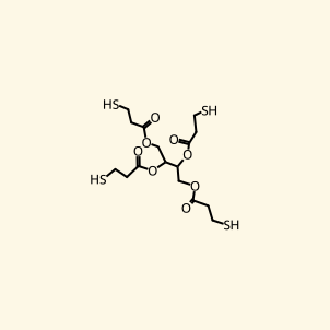 O=C(CCS)OCC(OC(=O)CCS)C(COC(=O)CCS)OC(=O)CCS